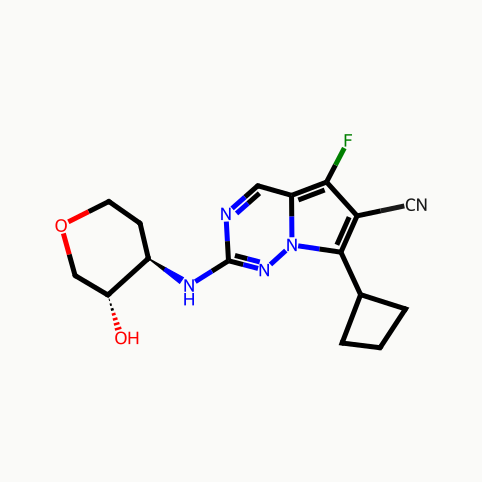 N#Cc1c(F)c2cnc(N[C@@H]3CCOC[C@H]3O)nn2c1C1CCC1